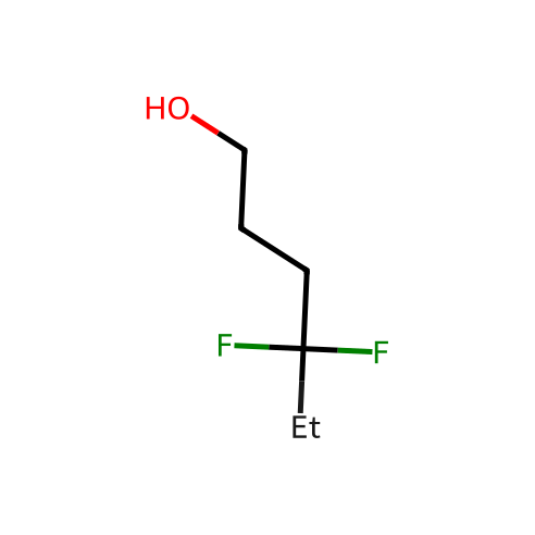 CCC(F)(F)CCCO